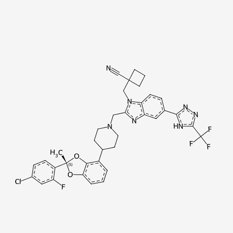 C[C@]1(c2ccc(Cl)cc2F)Oc2cccc(C3CCN(Cc4nc5cc(-c6nnc(C(F)(F)F)[nH]6)ccc5n4CC4(C#N)CCC4)CC3)c2O1